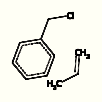 C=CC.ClCc1ccccc1